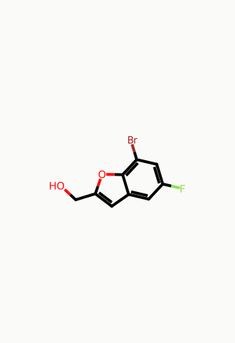 OCc1cc2cc(F)cc(Br)c2o1